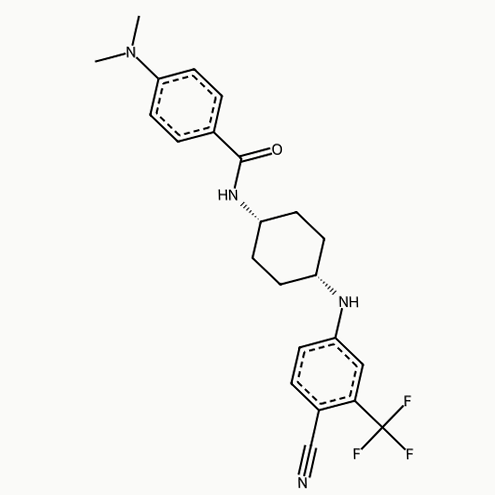 CN(C)c1ccc(C(=O)N[C@H]2CC[C@@H](Nc3ccc(C#N)c(C(F)(F)F)c3)CC2)cc1